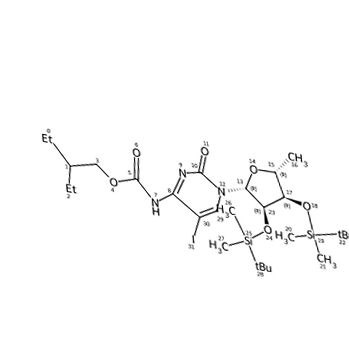 CCC(CC)COC(=O)Nc1nc(=O)n([C@@H]2O[C@H](C)[C@@H](O[Si](C)(C)C(C)(C)C)[C@H]2O[Si](C)(C)C(C)(C)C)cc1I